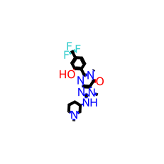 CN1CCC[C@@H](Nc2nc3nc(-c4ccc(C(F)(F)F)cc4O)n(C)c(=O)c3n2C)C1